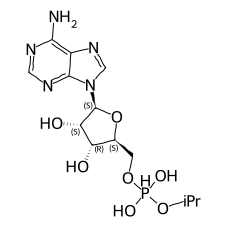 CC(C)O[PH](O)(O)OC[C@@H]1O[C@H](n2cnc3c(N)ncnc32)[C@@H](O)[C@H]1O